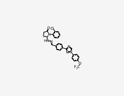 O=C1CSC(N/N=C/c2ccc(-c3ncn(-c4ccc(OC(F)(F)F)cc4)n3)cc2)N1c1ccccc1Cl